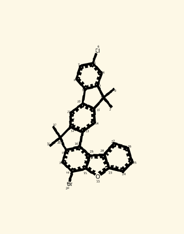 CC1(C)c2cc(Cl)ccc2-c2cc3c(cc21)-c1c(cc(Br)c2oc4ccccc4c12)C3(C)C